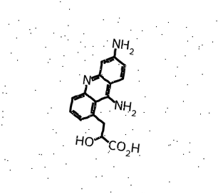 Nc1ccc2c(N)c3c(CC(O)C(=O)O)cccc3nc2c1